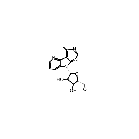 Cc1ncnc2c1c1ncccc1n2[C@@H]1O[C@H](CO)[C@@H](O)[C@H]1O